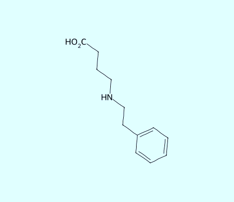 O=C(O)CCCNCCc1ccccc1